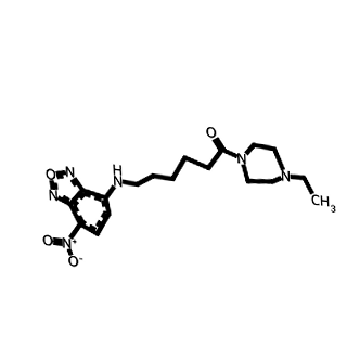 CCN1CCN(C(=O)CCCCCNc2ccc([N+](=O)[O-])c3nonc23)CC1